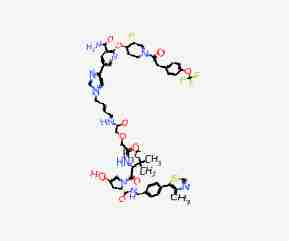 Cc1ncsc1-c1ccc(CNC(=O)[C@@H]2C[C@@H](O)CN2C(=O)[C@@H](NC(=O)COCC(=O)NCCCCn2cnc(-c3cnc(O[C@@H]4CCN(C(=O)Cc5ccc(OC(F)(F)F)cc5)C[C@H]4F)c(C(N)=O)c3)c2)C(C)(C)C)cc1